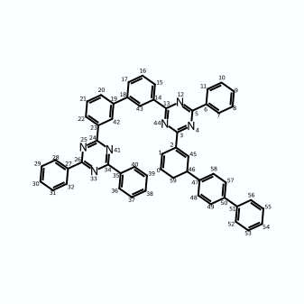 C1=CC(c2nc(-c3ccccc3)nc(-c3cccc(-c4cccc(-c5nc(-c6ccccc6)nc(-c6ccccc6)n5)c4)c3)n2)=CC(c2ccc(-c3ccccc3)cc2)C1